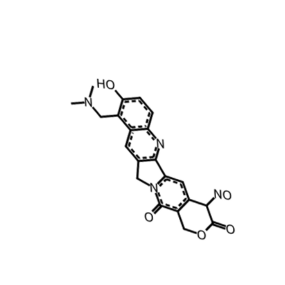 CN(C)Cc1c(O)ccc2nc3c(cc12)Cn1c-3cc2c(c1=O)COC(=O)C2N=O